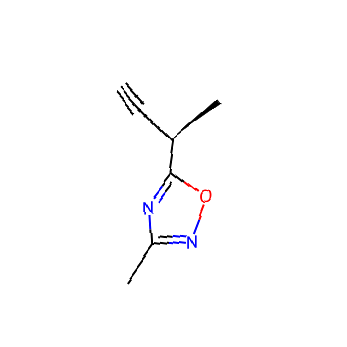 C#C[C@@H](C)c1nc(C)no1